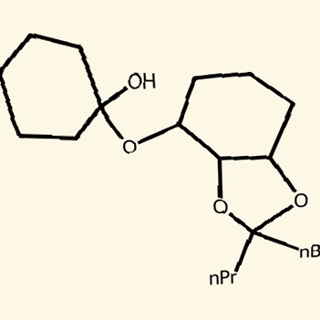 CCCCC1(CCC)OC2CCCC(OC3(O)CCCCC3)C2O1